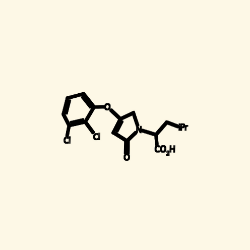 CC(C)CC(C(=O)O)N1CC(Oc2cccc(Cl)c2Cl)=CC1=O